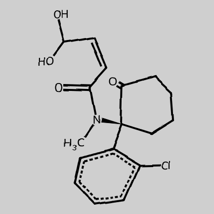 CN(C(=O)/C=C\C(O)O)[C@]1(c2ccccc2Cl)CCCCC1=O